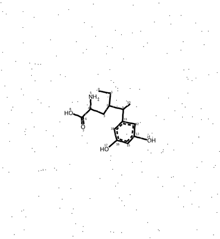 CCC(CC(N)C(=O)O)C(C)c1cc(O)cc(O)c1